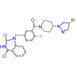 O=C(c1cc(Cn2c(=O)[nH]c(=O)c3ccccc32)ccc1F)N1CCC(n2cc(Br)cn2)CC1